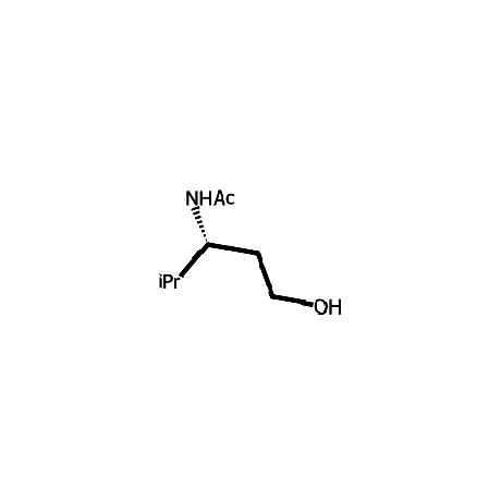 CC(=O)N[C@H](CCO)C(C)C